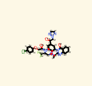 CC(C)Oc1ccc(C(=O)Cn2nccn2)cc1-n1c(CN2CCN(C(=O)COc3ccc(Cl)cc3)C(C(F)F)C2)nc2ccccc2c1=O